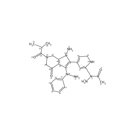 CC(=O)N(N)C1=CC(c2c(N(N)c3ccccc3)c3c(n2N)CN(C(=O)C(C)C)CC3=O)=CCN1